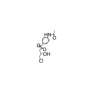 CC(=O)Nc1ccc(S(=O)(=O)CC(O)CCl)cc1